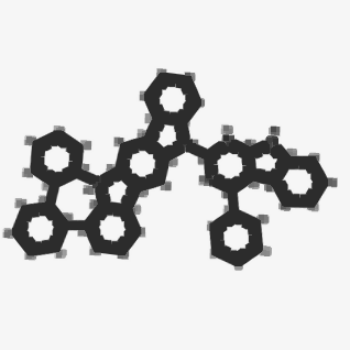 c1ccc(-c2nc(-n3c4ccccc4c4cc5c(cc43)c3cccc4c3n5-c3ccccc3-c3ccccc3-4)nc3oc4ccccc4c23)cc1